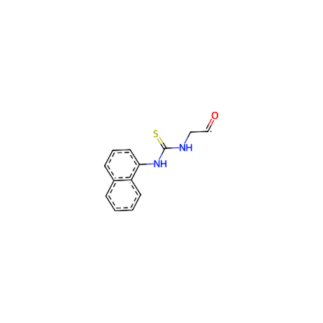 O=[C]CNC(=S)Nc1cccc2ccccc12